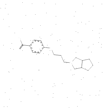 NC(=O)c1ccc(OCCCN2CC3CCCC3C2)cc1